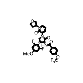 COc1cc(F)c([C@@H]2CN(c3cccn(C4CCOC4)c3=O)C(=O)[C@H]2NC(=O)c2ccc(OC(F)(F)F)cc2)c(F)c1